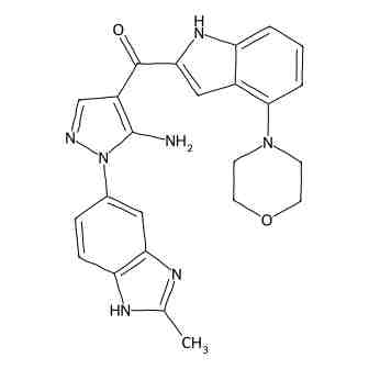 Cc1nc2cc(-n3ncc(C(=O)c4cc5c(N6CCOCC6)cccc5[nH]4)c3N)ccc2[nH]1